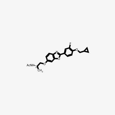 CC(=O)N[C@@H](C)COc1ccc2nc(-c3ccc(OCC4CC4)c(F)c3)oc2c1